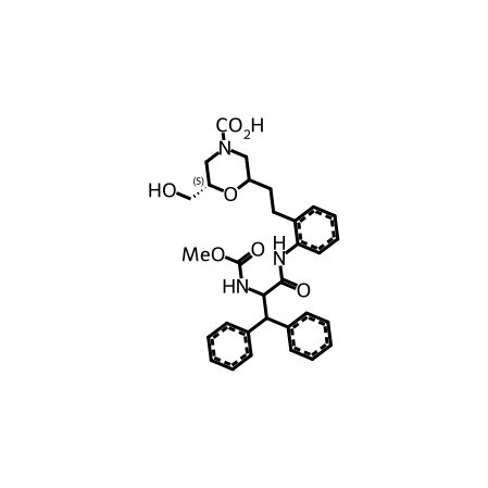 COC(=O)NC(C(=O)Nc1ccccc1CCC1CN(C(=O)O)C[C@@H](CO)O1)C(c1ccccc1)c1ccccc1